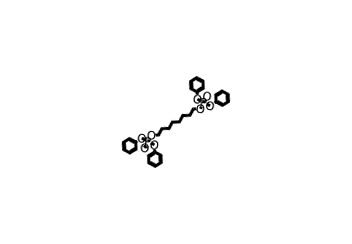 O=P(OCCCCCCCCOP(=O)(Oc1ccccc1)Oc1ccccc1)(Oc1ccccc1)Oc1ccccc1